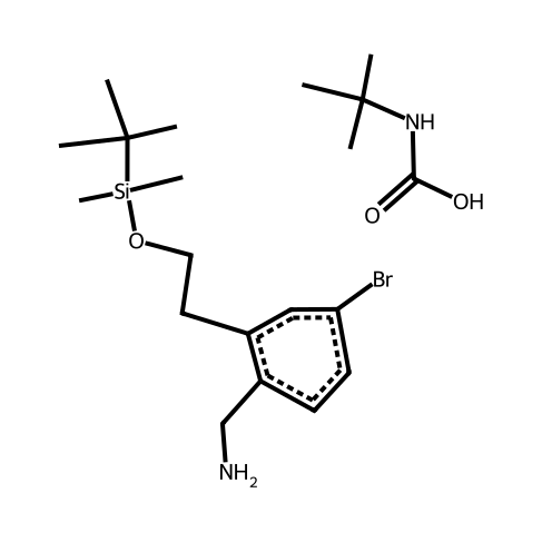 CC(C)(C)NC(=O)O.CC(C)(C)[Si](C)(C)OCCc1cc(Br)ccc1CN